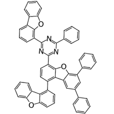 c1ccc(-c2cc(-c3ccccc3)c3oc4c(-c5nc(-c6ccccc6)nc(-c6cccc7c6oc6ccccc67)n5)ccc(-c5cccc6oc7ccccc7c56)c4c3c2)cc1